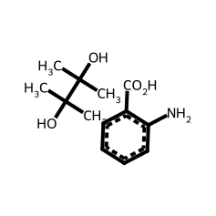 CC(C)(O)C(C)(C)O.Nc1ccccc1C(=O)O